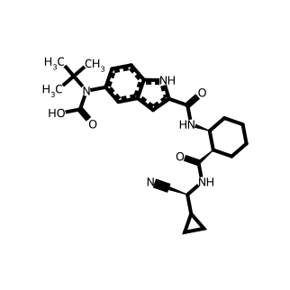 CC(C)(C)N(C(=O)O)c1ccc2[nH]c(C(=O)N[C@H]3CCCC[C@H]3C(=O)N[C@H](C#N)C3CC3)cc2c1